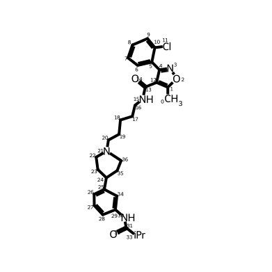 Cc1onc(-c2ccccc2Cl)c1C(=O)NCCCCCN1CCC(c2cccc(NC(=O)C(C)C)c2)CC1